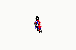 C[C@@]12CCC3[C@H]4CC[C@@H]5[C@]3(C)C=C(OCONC(=O)[C@H]1CC[C@@H]42)C(=O)[N+]5(C)Cc1ccccc1